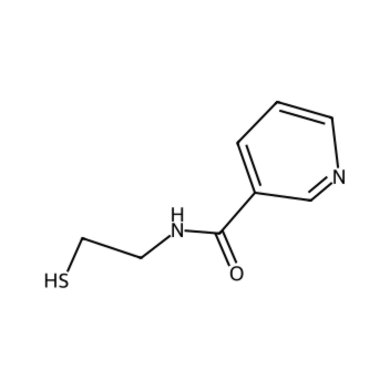 O=C(NCCS)c1cccnc1